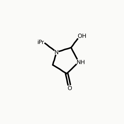 CC(C)N1CC(=O)NC1O